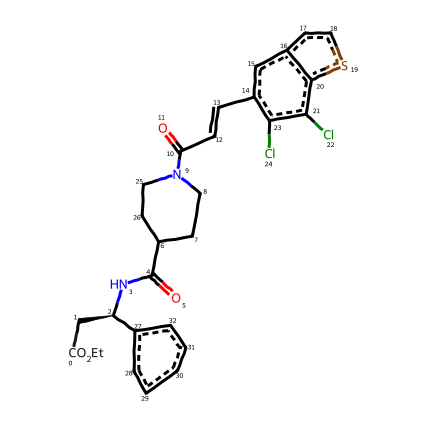 CCOC(=O)C[C@@H](NC(=O)C1CCN(C(=O)/C=C/c2cc3ccsc3c(Cl)c2Cl)CC1)c1ccccc1